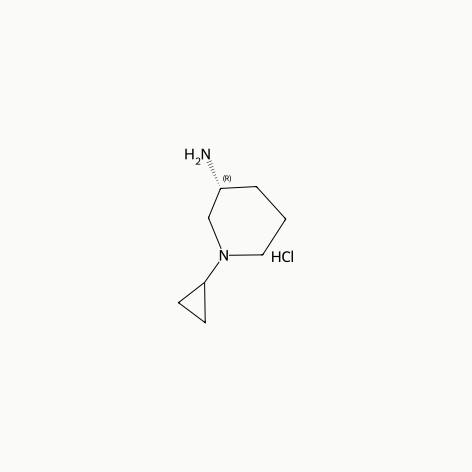 Cl.N[C@@H]1CCCN(C2CC2)C1